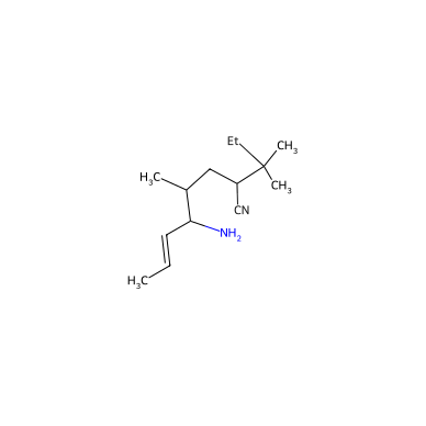 CC=CC(N)C(C)CC(C#N)C(C)(C)CC